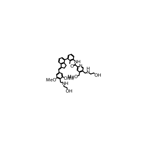 COCc1cc(C(=O)Nc2cccc(-c3cccc4c3CC/C4=C\c3cc(OC)c(CNCCO)c(OC)c3)c2C)ncc1CNCCO